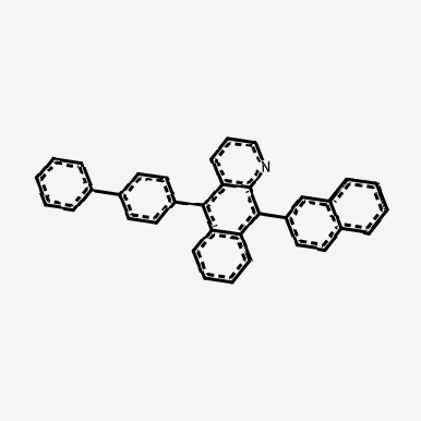 c1ccc(-c2ccc(-c3c4ccccc4c(-c4ccc5ccccc5c4)c4ncccc34)cc2)cc1